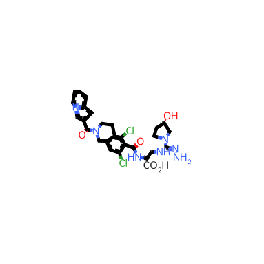 N/N=C(\NC[C@H](NC(=O)c1c(Cl)cc2c(c1Cl)CCN(C(=O)c1cc3ccccn3c1)C2)C(=O)O)N1CC[C@H](O)C1